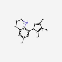 CC1=[C]C(c2cc(C)cc3c2NCCC3)C(C)=C1C